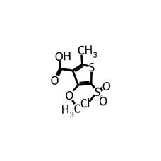 COc1c(S(=O)(=O)Cl)sc(C)c1C(=O)O